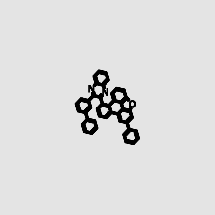 c1ccc(-c2cccc(-c3nc4ccccc4nc3-c3cccc4c5cc(-c6ccccc6)cc6oc7cccc(c34)c7c65)c2)cc1